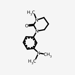 CN1CCCN(c2cccc(N(C)C)c2)C1=O